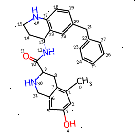 Cc1cc(O)cc2c1CC(C(=O)NC1CCNc3ccc(Cc4ccccc4)cc31)NC2